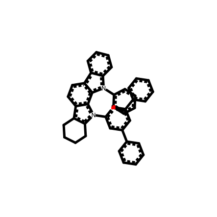 c1ccc(-c2cc(-c3ccccc3)nc(-n3c4c(c5ccc6c7ccccc7n(-c7ccccc7)c6c53)CCCC4)c2)cc1